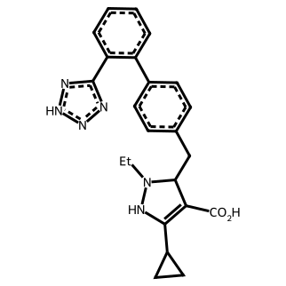 CCN1NC(C2CC2)=C(C(=O)O)C1Cc1ccc(-c2ccccc2-c2nn[nH]n2)cc1